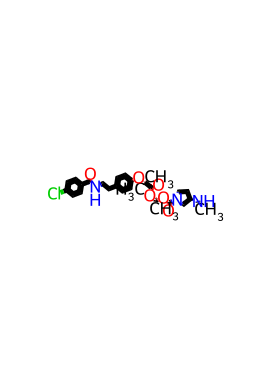 CN[C@@H]1CCN(C(=O)OC(C)OC(=O)C(C)(C)Oc2ccc(CCNC(=O)c3ccc(Cl)cc3)cc2)C1